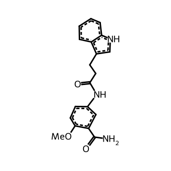 COc1ccc(NC(=O)CCc2c[nH]c3ccccc23)cc1C(N)=O